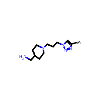 CC(C)c1cn(CCCN2CCC(CN)CC2)nn1